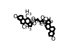 CCC12CCC3C4CCC(=O)C=C4CCC3C1CCC2(C)OC(=O)CCC(=O)OC1CCC2C3C(C)CC4=CC(=O)CCC4C3C(C)CC12C